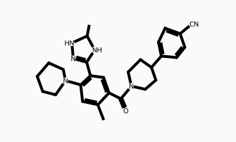 Cc1cc(N2CCCCC2)c(C2=NNC(C)N2)cc1C(=O)N1CCC(c2ccc(C#N)cc2)CC1